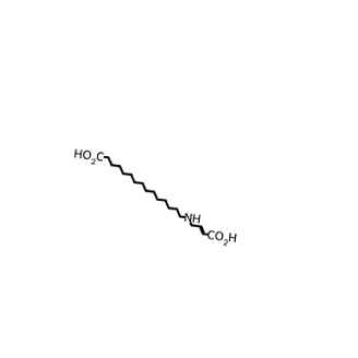 O=C(O)C=CCNCCCCCCCCCCCCCCC(=O)O